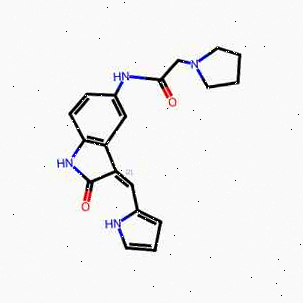 O=C(CN1CCCC1)Nc1ccc2c(c1)/C(=C/c1ccc[nH]1)C(=O)N2